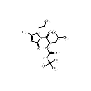 CCC[C@H]1C(C)=CC(=O)N1C(=O)[C@@H](CC(C)C)NC(=O)OC(C)(C)C